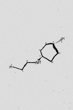 CC(C)CCN[C@H]1CC[C@H](C(C)C)CC1